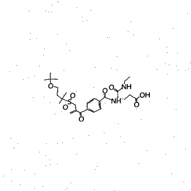 C=C(CS(=O)(=O)C(C)(C)CCOC(C)(C)C)C(=O)c1ccc(C(=O)N[C@@H](CCC(=O)O)C(=O)NCC)cc1